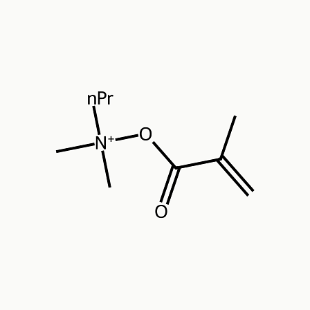 C=C(C)C(=O)O[N+](C)(C)CCC